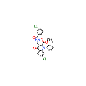 COC(=O)c1c(CNC(=O)c2cccc(Cl)c2)c(=O)c2ccc(Cl)cc2n1-c1ccccc1